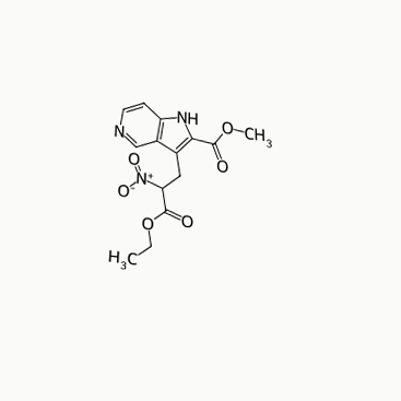 CCOC(=O)C(Cc1c(C(=O)OC)[nH]c2ccncc12)[N+](=O)[O-]